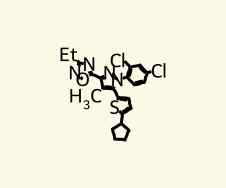 CCc1noc(-c2nn(-c3ccc(Cl)cc3Cl)c(-c3ccc(C4CCCC4)s3)c2C)n1